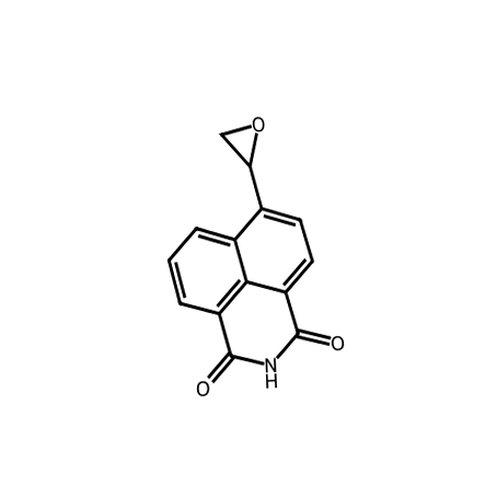 O=C1NC(=O)c2ccc(C3CO3)c3cccc1c23